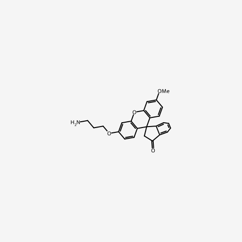 COc1ccc2c(c1)Oc1cc(OCCCN)ccc1C21CC(=O)c2ccccc21